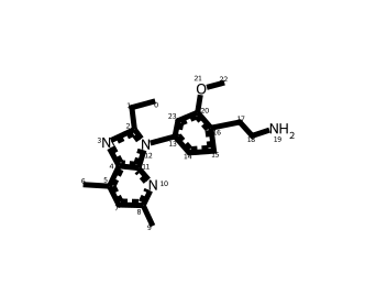 CCc1nc2c(C)cc(C)nc2n1-c1ccc(CCN)c(OC)c1